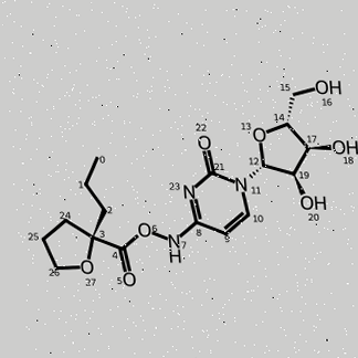 CCC[C@]1(C(=O)ONc2ccn([C@@H]3O[C@H](CO)[C@@H](O)[C@H]3O)c(=O)n2)CCCO1